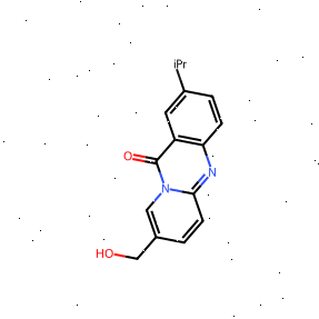 CC(C)c1ccc2nc3ccc(CO)cn3c(=O)c2c1